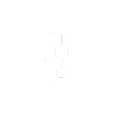 C=C(C)c1ccc(N2CC[C@H](C)C2)c(C)n1